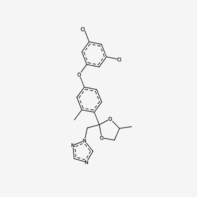 Cc1cc(Oc2cc(Cl)cc(Cl)c2)ccc1C1(Cn2cncn2)OCC(C)O1